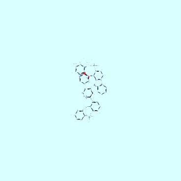 CC1(C)c2cccc([Si](c3ccccc3)(c3ccccc3)c3ccnc(-c4cccc5c4Sc4ccccc4[Si]5(C)C)c3)c2Sc2ccccc2[Si]1(C)C